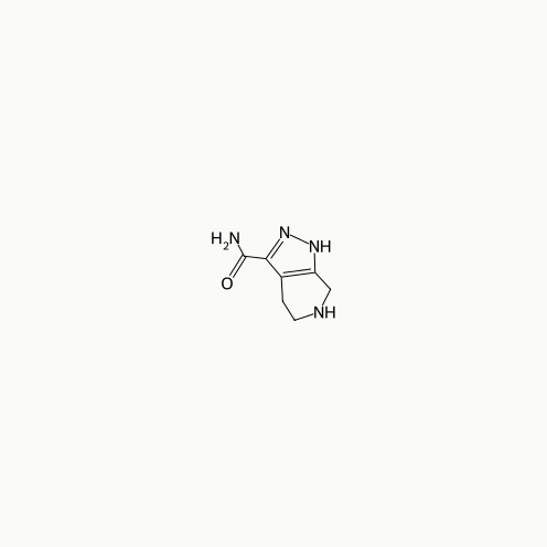 NC(=O)c1n[nH]c2c1CCNC2